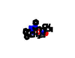 CCN1C(=O)C(C#N)=C(C)/C(=C/c2cc3c(nc(-c4cccc5ccccc45)n3C)n2-c2ccccc2)C1=O